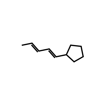 CC=CC=CC1CCCC1